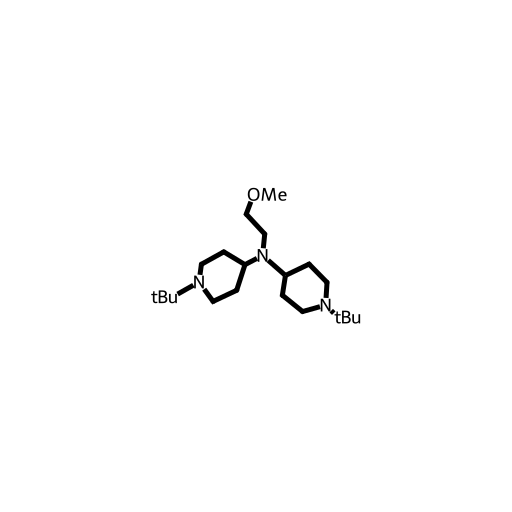 COCCN(C1CCN(C(C)(C)C)CC1)C1CCN(C(C)(C)C)CC1